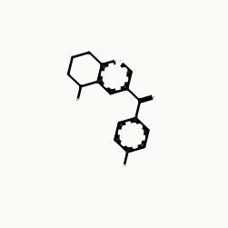 O=CC1CCCc2ncc(C(=O)c3ccc(C(F)(F)F)cc3)cc21